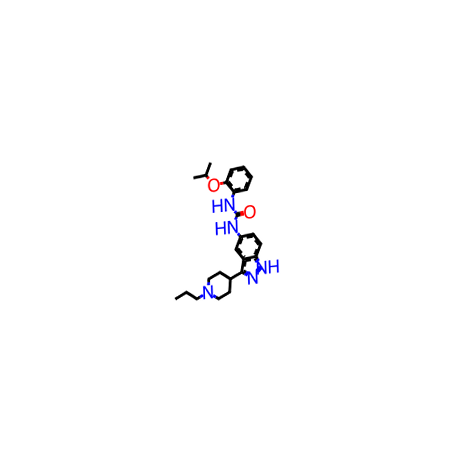 CCCN1CCC(c2n[nH]c3ccc(NC(=O)Nc4ccccc4OC(C)C)cc23)CC1